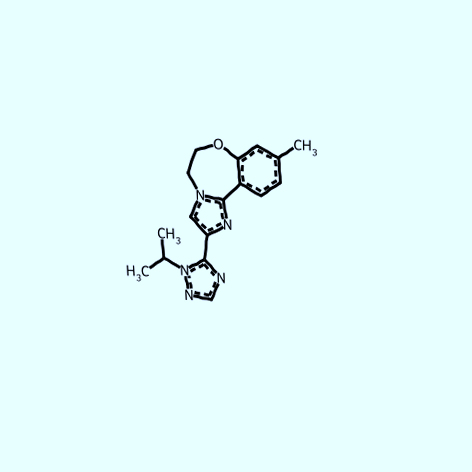 Cc1ccc2c(c1)OCCn1cc(-c3ncnn3C(C)C)nc1-2